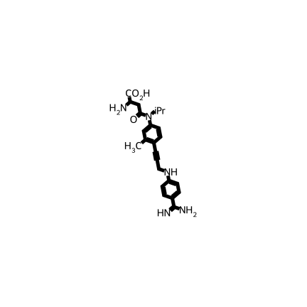 Cc1cc(N(C(=O)CC(N)C(=O)O)C(C)C)ccc1C#CCNc1ccc(C(=N)N)cc1